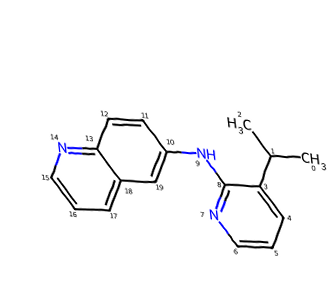 CC(C)c1cccnc1Nc1ccc2ncccc2c1